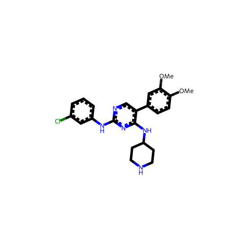 COc1ccc(-c2cnc(Nc3cccc(Cl)c3)nc2NC2CCNCC2)cc1OC